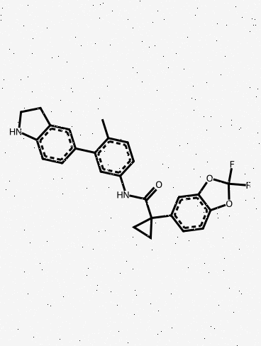 Cc1ccc(NC(=O)C2(c3ccc4c(c3)OC(F)(F)O4)CC2)cc1-c1ccc2c(c1)CCN2